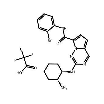 N[C@H]1CCCC[C@H]1Nc1ncc2ccc(C(=O)Nc3ccccc3Br)n2n1.O=C(O)C(F)(F)F